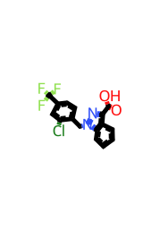 O=C(O)c1nn(Cc2ccc(C(F)(F)F)cc2Cl)c2ccccc12